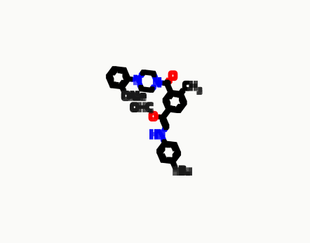 CCCCc1ccc(N/C=C(\OC=O)c2ccc(C)c(C(=O)N3CCN(c4ccccc4OC)CC3)c2)cc1